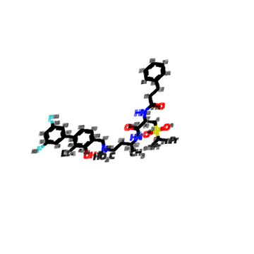 CCCC(CCC)S(=O)(=O)C[C@H](NC(=O)CCc1ccccc1)C(=O)N[C@@H](C)CCN(Cc1ccc(-c2cc(F)cc(F)c2)c(CC)c1O)C(=O)O